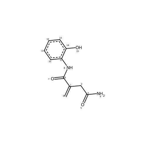 C=C(CC(N)=O)C(=O)Nc1ccccc1O